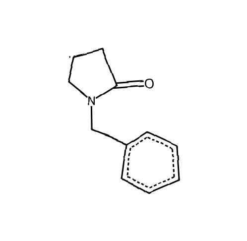 O=C1C[CH]CN1Cc1ccccc1